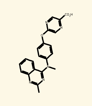 Cc1nc(N(C)c2ccc(Oc3cnc(C(=O)O)cn3)cc2)c2ccccc2n1